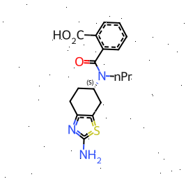 CCCN(C(=O)c1ccccc1C(=O)O)[C@H]1CCc2nc(N)sc2C1